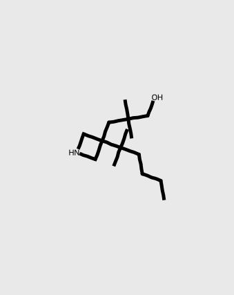 CCCCC(C)(C)C1(CC(C)(C)CO)CNC1